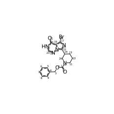 O=C(OCc1ccccc1)N1CCCC(c2nc(Br)c3c(=O)[nH]cnn23)C1